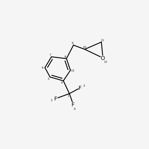 FC(F)(F)c1cccc(CC2CO2)c1